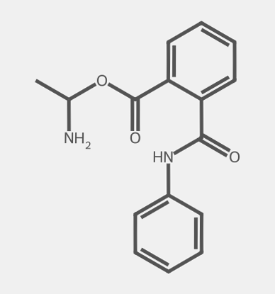 CC(N)OC(=O)c1ccccc1C(=O)Nc1ccccc1